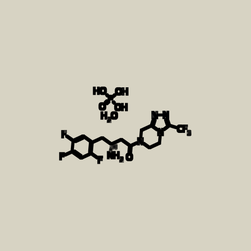 N[C@@H](CC(=O)N1CCn2c(nnc2C(F)(F)F)C1)Cc1cc(F)c(F)cc1F.O.O=P(O)(O)O